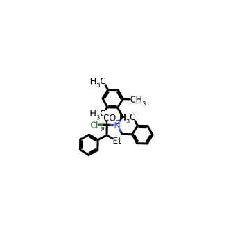 CCC(c1ccccc1)[C@@](Cl)(C(=O)O)N(Cc1ccccc1C)Cc1c(C)cc(C)cc1C